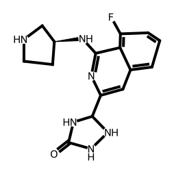 O=C1NNC(c2cc3cccc(F)c3c(N[C@H]3CCNC3)n2)N1